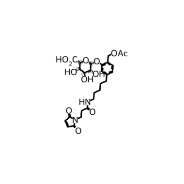 CC(=O)OCc1ccc(CCCCCNC(=O)CCN2C(=O)C=CC2=O)cc1O[C@@H]1O[C@H](C(=O)O)[C@@H](O)[C@H](O)[C@H]1O